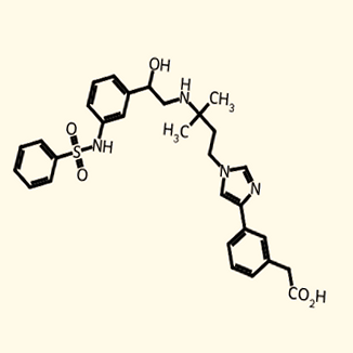 CC(C)(CCn1cnc(-c2cccc(CC(=O)O)c2)c1)NCC(O)c1cccc(NS(=O)(=O)c2ccccc2)c1